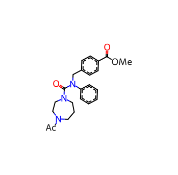 COC(=O)c1ccc(CN(C(=O)N2CCCN(C(C)=O)CC2)c2ccccc2)cc1